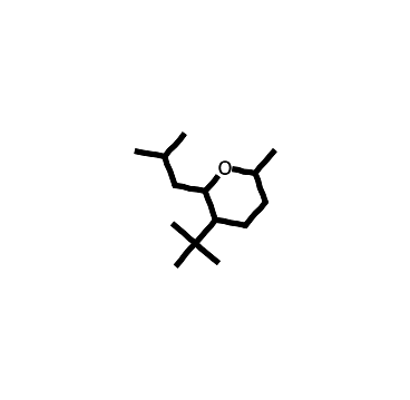 CC(C)CC1OC(C)CCC1C(C)(C)C